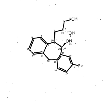 OC[C@H](O)C[C@@H]1c2ccccc2Cc2ccc(F)cc2[C@@H]1O